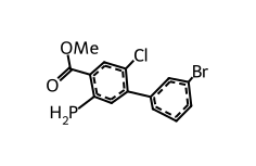 COC(=O)c1cc(Cl)c(-c2cccc(Br)c2)cc1P